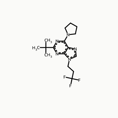 CC(C)(C)c1nc(N2CCCC2)c2ncn(CCC(F)(F)F)c2n1